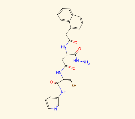 NNC(=O)[C@H](CC(=O)N[C@@H](CS)C(=O)Nc1cccnc1)NC(=O)Cc1cccc2ccccc12